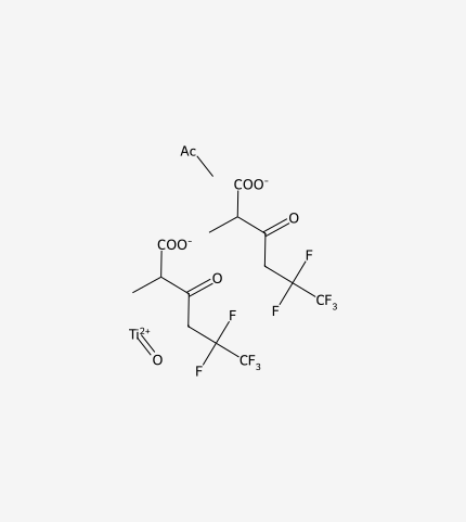 CC(C(=O)[O-])C(=O)CC(F)(F)C(F)(F)F.CC(C(=O)[O-])C(=O)CC(F)(F)C(F)(F)F.CC(C)=O.[O]=[Ti+2]